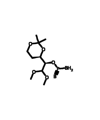 B#P(B)O[C@@H](C(OC)OC)[C@H]1CCOC(C)(C)O1